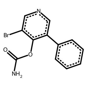 NC(=O)Oc1c(Br)cncc1-c1ccccc1